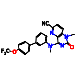 CN(c1cccc(-c2ccc(OC(F)(F)F)cc2)c1)c1nc(=O)n(C)c2ccc(C#N)nc12